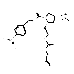 C=CCOC(=O)NCC[C@@H]1C[C@@H](OS(C)(=O)=O)CN1C(=O)OCc1ccc([N+](=O)[O-])cc1